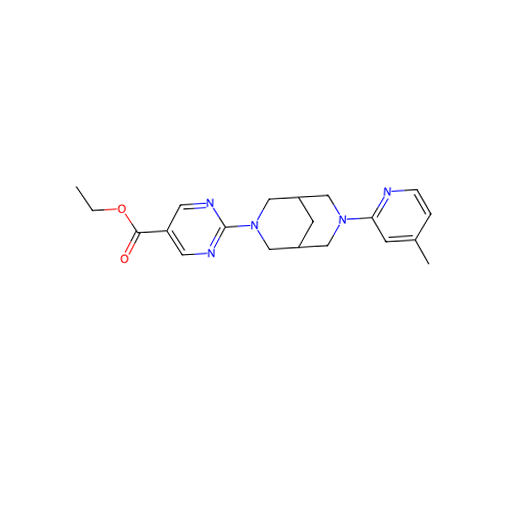 CCOC(=O)c1cnc(N2CC3CC(CN(c4cc(C)ccn4)C3)C2)nc1